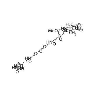 CCN(C)CC(C)(C)COC(C)(C)Cn1nnc2c1CCN(C(=O)CCCC(=O)NCCCOCCOCCOCCCNC(=O)CCCC[C@@H]1SC[C@@H]3NC(=O)N[C@@H]31)C[C@H](OC)C2